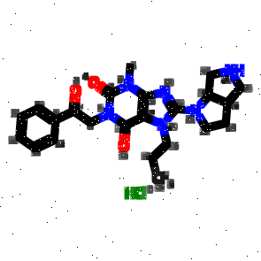 Cl.Cn1c(=O)n(CC(=O)c2ccccc2)c(=O)c2c1nc(N1CCC3CNCC31)n2CCC(F)(F)F